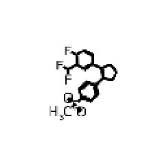 CS(=O)(=O)c1ccc(C2=C(c3ccc(F)c(C(F)F)c3)CCC2)cc1